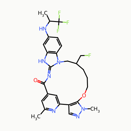 Cc1cc2cc(n1)-c1cnn(C)c1OCCCC(CF)CN1/C(=N/C2=O)Nc2cc(NC(C)C(F)(F)F)ccc21